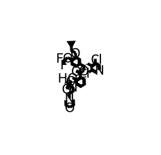 CS(=O)(=O)N(CCN1CCOCC1)c1cccc(C(=O)O[C@@H](Cc2c(Cl)cncc2Cl)c2ccc(OC(F)F)c(OCC3CC3)c2)c1O